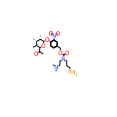 CC(=O)C1OC(Oc2ccc(COC(=O)N(CCCP)CCN(C)C)cc2[N+](=O)[O-])[C@@H](C)[C@@H](C)C1C